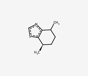 CC1CC[C@@H](C)c2scnc21